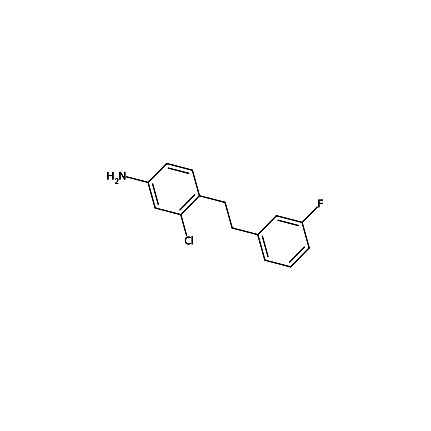 Nc1ccc(CCc2cccc(F)c2)c(Cl)c1